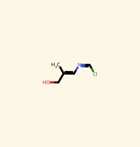 C/C(=C\N=C/Cl)CO